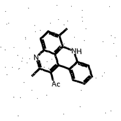 CC(=O)c1c(C)nc2ccc(C)c3c2c1-c1ccccc1N3